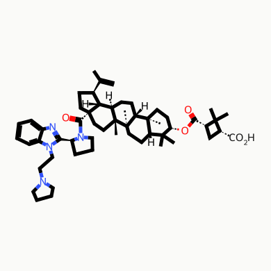 C=C(C)[C@@H]1CC[C@]2(C(=O)N3CCC[C@H]3c3nc4ccccc4n3CCN3CCCC3)CC[C@]3(C)[C@H](CC[C@@H]4[C@@]5(C)CC[C@H](OC(=O)[C@H]6C[C@@H](C(=O)O)C6(C)C)C(C)(C)[C@@H]5CC[C@]43C)[C@@H]12